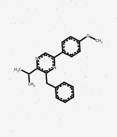 COc1ccc(-c2cnc(C(C)C)c(Cc3ccccc3)n2)cc1